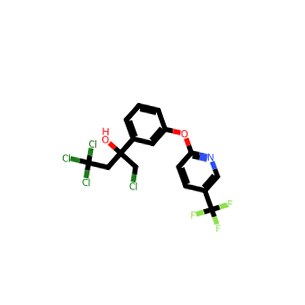 OC(CCl)(CC(Cl)(Cl)Cl)c1cccc(Oc2ccc(C(F)(F)F)cn2)c1